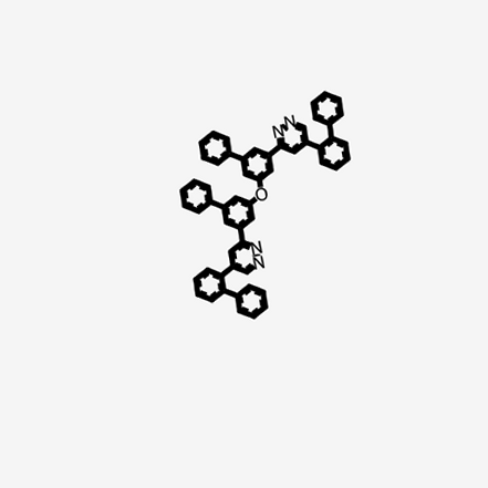 c1ccc(-c2cc(Oc3cc(-c4ccccc4)cc(-c4cc(-c5ccccc5-c5ccccc5)cnn4)c3)cc(-c3cc(-c4ccccc4-c4ccccc4)cnn3)c2)cc1